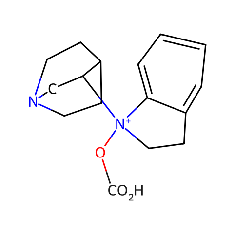 O=C(O)O[N+]1(C2CN3CCC2CC3)CCc2ccccc21